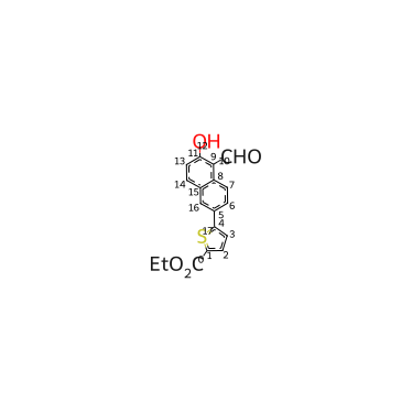 CCOC(=O)c1ccc(-c2ccc3c(C=O)c(O)ccc3c2)s1